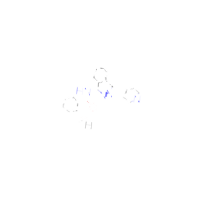 COc1ccccc1C(=O)Nc1nnc(Cc2ccncc2)c2ccccc12